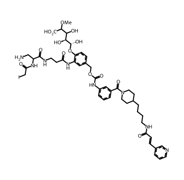 COC(C(=O)O)C(O)[C@H](O)[C@H](O)Oc1ccc(COC(=O)Nc2cccc(C(=O)N3CCC(CCCCNC(=O)/C=C/c4cccnc4)CC3)c2)cc1NC(=O)CCNC(=O)C(CN)NC(=O)CI